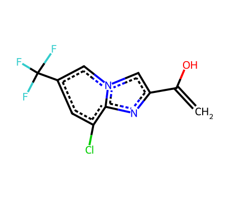 C=C(O)c1cn2cc(C(F)(F)F)cc(Cl)c2n1